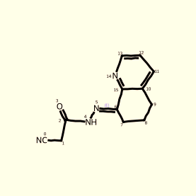 N#CCC(=O)N/N=C1\CCCc2cccnc21